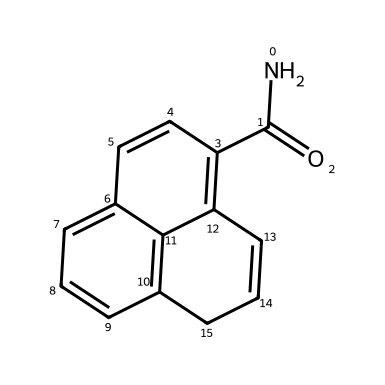 NC(=O)c1ccc2cccc3c2c1C=CC3